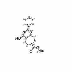 CC(C)(C)OC(=O)N1CCc2nc(N3CCSCC3)nc(O)c2CC1